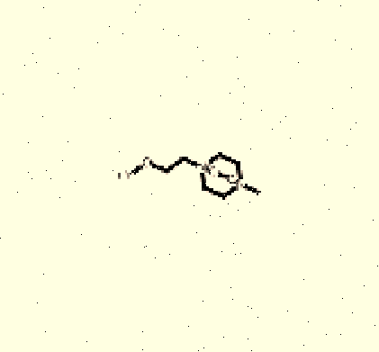 CC(C)OCC[N+]12CC[N+](C)(CC1)CC2